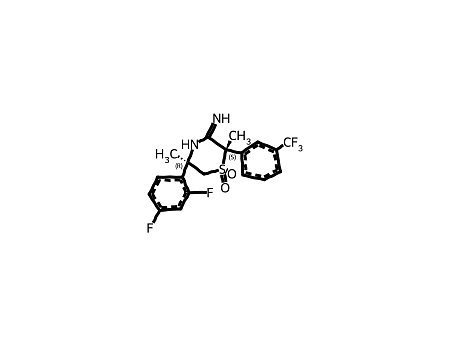 C[C@@]1(c2ccc(F)cc2F)CS(=O)(=O)[C@@](C)(c2cccc(C(F)(F)F)c2)C(=N)N1